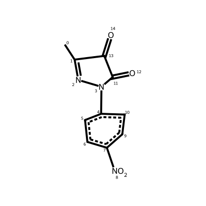 CC1=NN(c2ccc([N+](=O)[O-])cc2)C(=O)C1=O